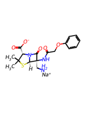 CC1(C)S[C@H]2N(C(=O)[C@@]2(CN)NC(=O)COc2ccccc2)[C@H]1C(=O)[O-].[Na+]